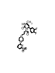 CC1=CC(c2ccc(F)c(F)c2)N(N(C=O)CCCN2CCN(c3cccc([N+](=O)[O-])n3)CC2)C(=O)N1